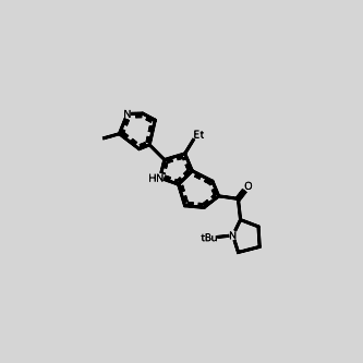 CCc1c(-c2ccnc(C)c2)[nH]c2ccc(C(=O)C3CCCN3C(C)(C)C)cc12